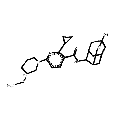 O=C(O)C[C@@H]1CCCN(c2ccc(C(=O)NC3C4CC5CC3CC(O)(C5)C4)c(C3CC3)n2)C1